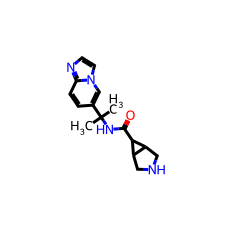 CC(C)(NC(=O)C1C2CNCC21)c1ccc2nccn2c1